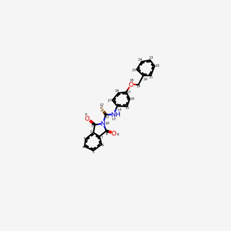 O=C1c2ccccc2C(=O)N1C(=S)Nc1ccc(OCc2ccccc2)cc1